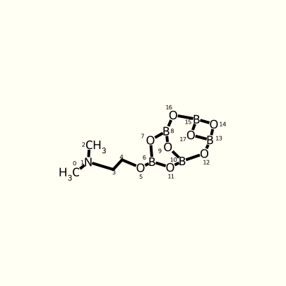 CN(C)CCOB1OB2OB(O1)OB1OB(O2)O1